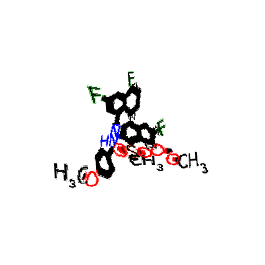 COCO[C@H]1c2c(c([C@H]3CC[C@H](F)c4cc(F)cc(C#N)c43)cc(NCc3ccc(OC)cc3)c2S(C)(=O)=O)C[C@H]1F